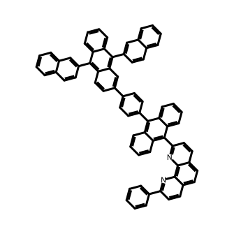 c1ccc(-c2ccc3ccc4ccc(-c5c6ccccc6c(-c6ccc(-c7ccc8c(-c9ccc%10ccccc%10c9)c9ccccc9c(-c9ccc%10ccccc%10c9)c8c7)cc6)c6ccccc56)nc4c3n2)cc1